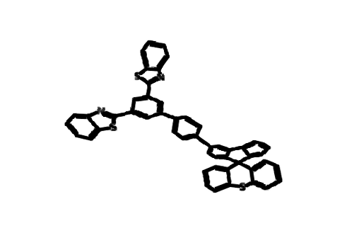 c1ccc2c(c1)Sc1ccccc1C21c2ccccc2-c2cc(-c3ccc(-c4cc(-c5nc6ccccc6s5)cc(-c5nc6ccccc6s5)c4)cc3)ccc21